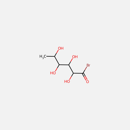 CC(O)C(O)C(O)C(O)C(=O)Br